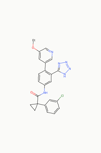 CCOc1cncc(-c2ccc(NC(=O)C3(c4cccc(Cl)c4)CC3)cc2-c2nnn[nH]2)c1